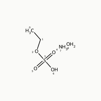 CCOS(=O)(=O)O.N.O